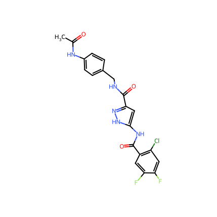 CC(=O)Nc1ccc(CNC(=O)c2cc(NC(=O)c3cc(F)c(F)cc3Cl)[nH]n2)cc1